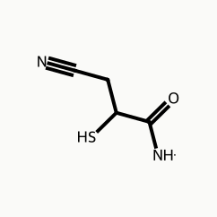 N#CCC(S)C([NH])=O